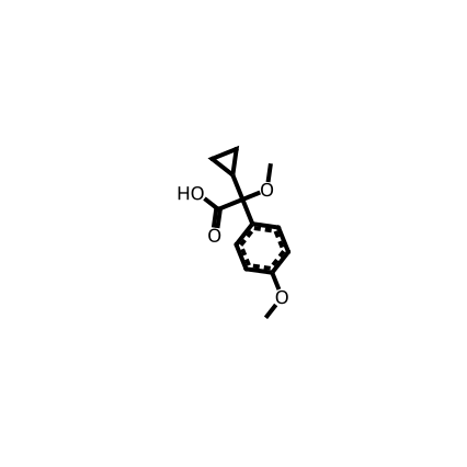 COc1ccc(C(OC)(C(=O)O)C2CC2)cc1